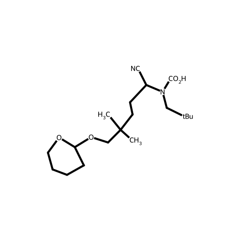 CC(C)(C)CN(C(=O)O)C(C#N)CCC(C)(C)COC1CCCCO1